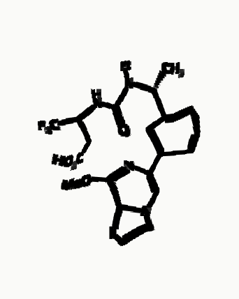 CCN(C(=O)NC(CC(=O)O)C(F)(F)F)[C@H](C)c1cccc(-c2cn3ccnc3c(OC)n2)c1